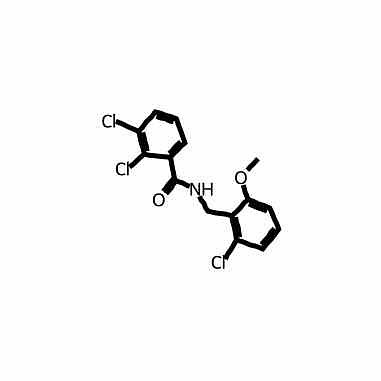 COc1cccc(Cl)c1CNC(=O)c1cccc(Cl)c1Cl